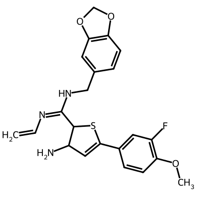 C=C/N=C(/NCc1ccc2c(c1)OCO2)C1SC(c2ccc(OC)c(F)c2)=CC1N